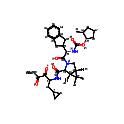 CNC(=O)C(=O)C(CC1CC1)NC(=O)[C@@H]1[C@@H]2[C@H](CN1C(=O)[C@@H](NC(=O)O[C@H]1CCC[C@@H]1C)C1Cc3ccccc3C1)C2(C)C